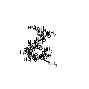 CC(C)C[C@H](NC(=O)[C@H](CC(=O)O)NC(=O)[C@H](CO)NC(=O)[C@@H](NC(=O)[C@H](Cc1ccccc1)NC(=O)[C@@H](NC(=O)CNC(=O)[C@H](CCC(N)=O)NC(=O)C(C)(C)NC(=O)[C@@H](N)Cc1c[nH]cn1)[C@@H](C)O)[C@@H](C)O)C(=O)N[C@@H](CO)C(=O)N[C@@H](CCCCN)C(=O)N[C@@H](CCC(N)=O)C(=O)O